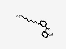 CCCCCCCCOc1cccc(C(=O)c2ccccc2O)c1